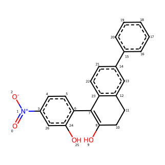 O=[N+]([O-])c1ccc(C2=C(O)CCc3cc(-c4ccccc4)ccc32)c(O)c1